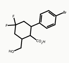 O=C(O)C1C(CO)CC(F)(F)CC1c1ccc(Br)cc1